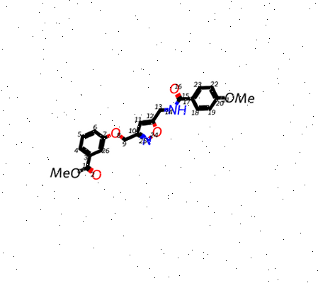 COC(=O)c1cccc(OCc2cc(CNC(=O)c3ccc(OC)cc3)on2)c1